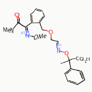 CNC(=O)/C(=N/OC)c1ccccc1COC/C=N/OC(C)(C(=O)O)c1ccccc1